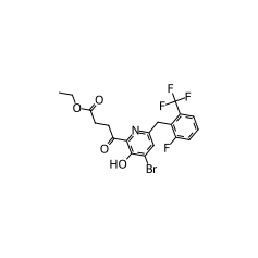 CCOC(=O)CCC(=O)c1nc(Cc2c(F)cccc2C(F)(F)F)cc(Br)c1O